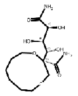 NC(=O)[C@@H](O)[C@H](O)[C@H](O)[C@@]1(C(N)=O)CCCCCCCCO1